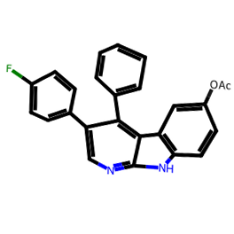 CC(=O)Oc1ccc2[nH]c3ncc(-c4ccc(F)cc4)c(-c4ccccc4)c3c2c1